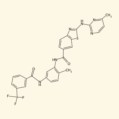 Cc1ccnc(Nc2nc3ccc(C(=O)Nc4cc(NC(=O)c5cccc(C(F)(F)F)c5)ccc4C)cc3s2)n1